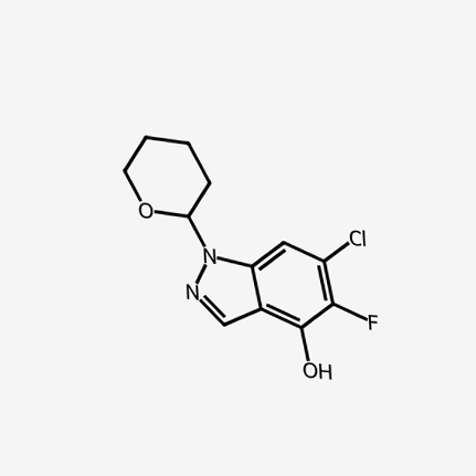 Oc1c(F)c(Cl)cc2c1cnn2C1CCCCO1